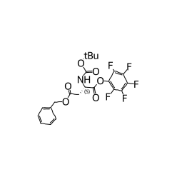 CC(C)(C)OC(=O)N[C@@H](CC(=O)OCc1ccccc1)C(=O)Oc1c(F)c(F)c(F)c(F)c1F